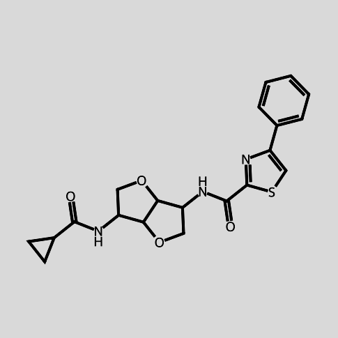 O=C(NC1COC2C(NC(=O)C3CC3)COC12)c1nc(-c2ccccc2)cs1